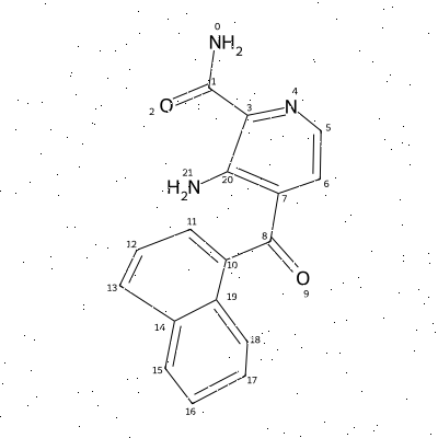 NC(=O)c1nccc(C(=O)c2cccc3ccccc23)c1N